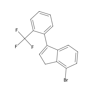 FC(F)(F)c1ccccc1C1=CCc2c(Br)cccc21